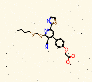 CCCCSCSc1nc(-c2nccs2)cc(-c2ccc(OCC(=O)OC)cc2)c1C#N